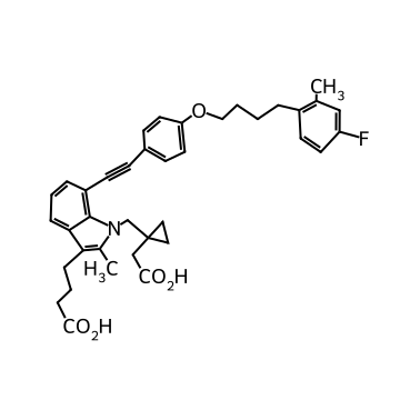 Cc1cc(F)ccc1CCCCOc1ccc(C#Cc2cccc3c(CCCC(=O)O)c(C)n(CC4(CC(=O)O)CC4)c23)cc1